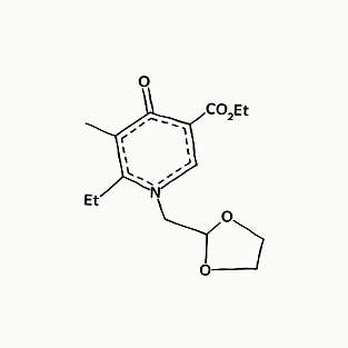 CCOC(=O)c1cn(CC2OCCO2)c(CC)c(C)c1=O